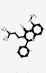 COc1cccc2oc(-c3ccccc3)c(CCC(C)C)c(=O)c12